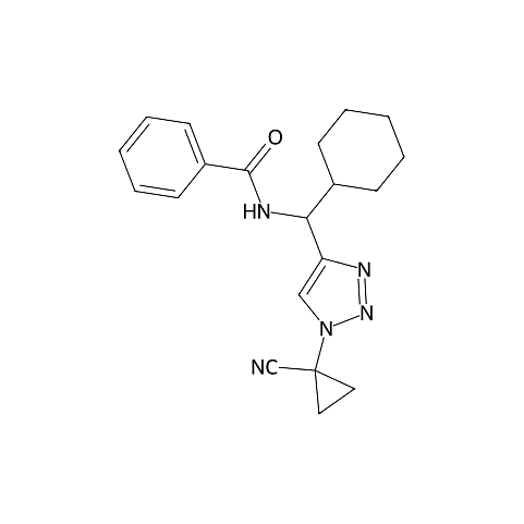 N#CC1(n2cc(C(NC(=O)c3ccccc3)C3CCCCC3)nn2)CC1